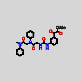 COC(=O)C(=O)c1cccc(NC(=O)NCC(=O)N(CC(=O)N(C)c2ccccc2)c2ccccc2)c1